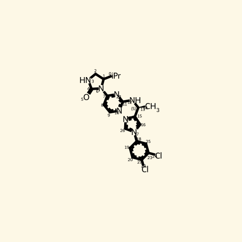 CC(C)C1CNC(=O)N1c1ccnc(N[C@@H](C)c2cn(-c3ccc(Cl)c(Cl)c3)cn2)n1